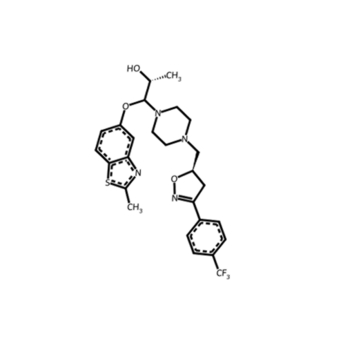 Cc1nc2cc(OC([C@@H](C)O)N3CCN(C[C@H]4CC(c5ccc(C(F)(F)F)cc5)=NO4)CC3)ccc2s1